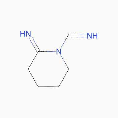 N=CN1CCCCC1=N